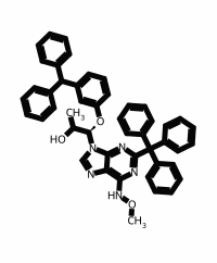 CONc1nc(C(c2ccccc2)(c2ccccc2)c2ccccc2)nc2c1ncn2[C@@H](Oc1cccc(C(c2ccccc2)c2ccccc2)c1)C(C)O